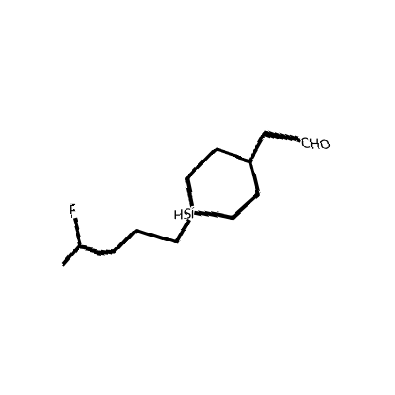 CC(F)CCC[SiH]1CCC(CC=O)CC1